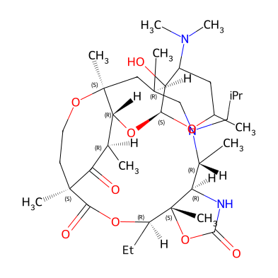 CC[C@H]1OC(=O)[C@@]2(C)CCO[C@@](C)(C[C@@H](C)CN(CC(C)C)[C@H](C)[C@H]3NC(=O)O[C@@]31C)[C@H](O[C@@H]1OC(C)CC(N(C)C)C1O)[C@@H](C)C2=O